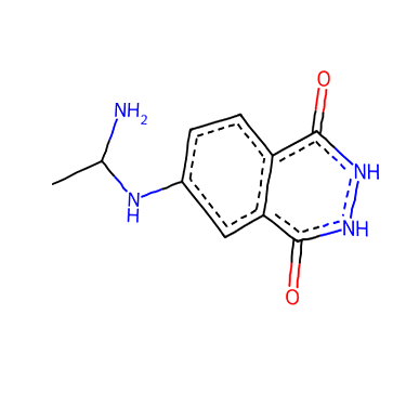 CC(N)Nc1ccc2c(=O)[nH][nH]c(=O)c2c1